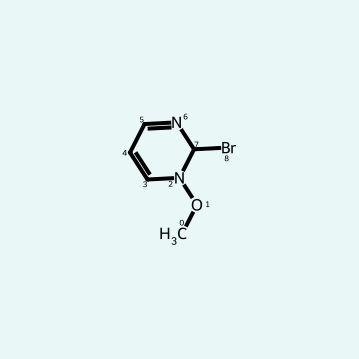 CON1C=CC=NC1Br